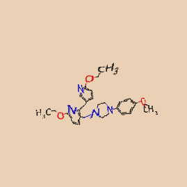 CCOc1ccc(-c2nc(OCC)ccc2N2CCN(c3ccc(OC)cc3)CC2)cn1